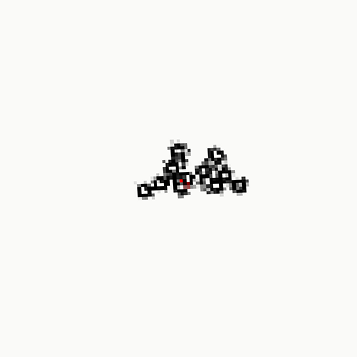 c1ccc(-c2ccc(N(c3ccccc3)c3ccc4c(sc5ccccc54)c3-c3cccc(-c4ccc(N(c5ccccc5)c5ccc(-c6ccccc6)cc5)c5c4sc4ccccc45)c3)cc2)cc1